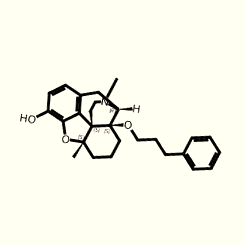 CN1CC[C@]23c4c5ccc(O)c4O[C@@]2(C)CCC[C@@]3(OCCCc2ccccc2)[C@H]1C5